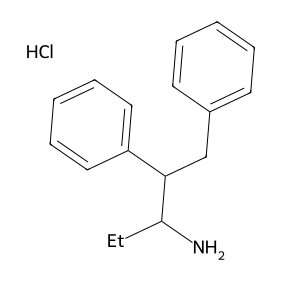 CCC(N)C(Cc1ccccc1)c1ccccc1.Cl